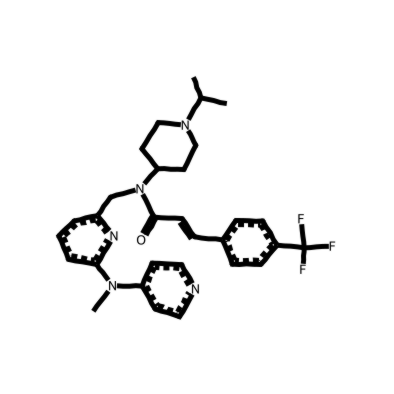 CC(C)N1CCC(N(Cc2cccc(N(C)c3ccncc3)n2)C(=O)C=Cc2ccc(C(F)(F)F)cc2)CC1